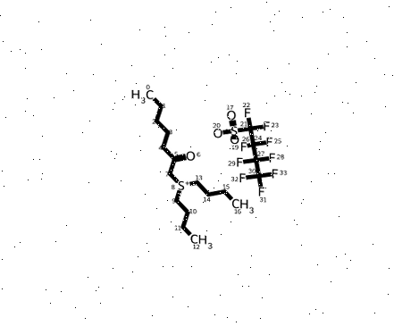 CCCCCC(=O)C[S+](CCCC)CCCC.O=S(=O)([O-])C(F)(F)C(F)(F)C(F)(F)C(F)(F)F